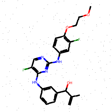 C=C(C)C(O)c1cccc(Nc2nc(Nc3ccc(OCCOC)c(F)c3)ncc2F)c1